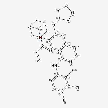 C=CC(=O)N1CC2CC(C1)C2Oc1cc2c(Nc3ccc(Cl)c(Cl)c3F)ncnc2cc1OC1CCOC1